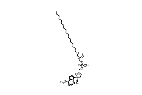 CCCCCCCCCCCCCCCCCCOC[C@H](COP(=O)(O)OC[C@@H]1CC[C@](C#N)(c2ccc3c(N)ncnn23)O1)OC